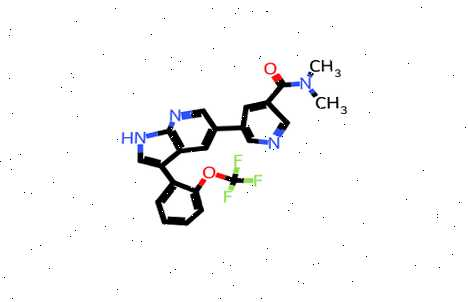 CN(C)C(=O)c1cncc(-c2cnc3[nH]cc(-c4ccccc4OC(F)(F)F)c3c2)c1